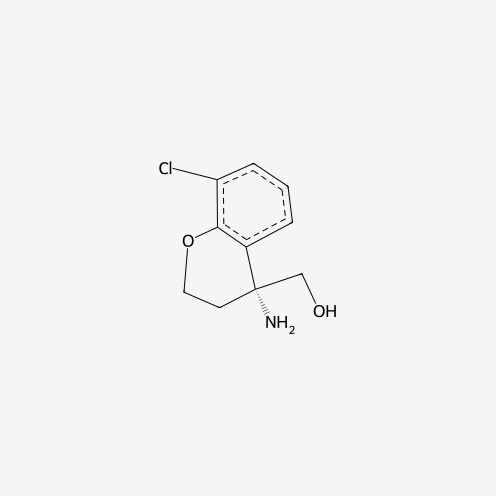 N[C@]1(CO)CCOc2c(Cl)cccc21